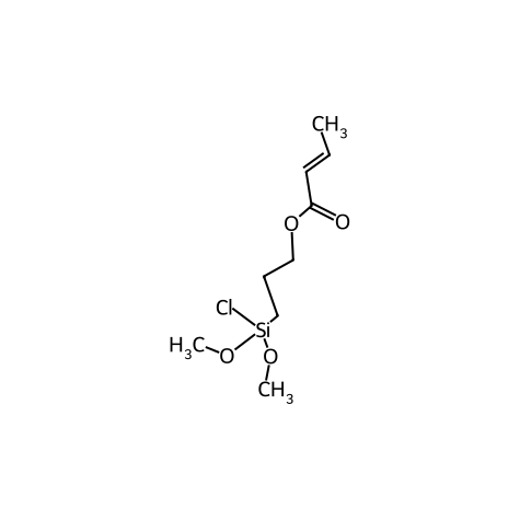 CC=CC(=O)OCCC[Si](Cl)(OC)OC